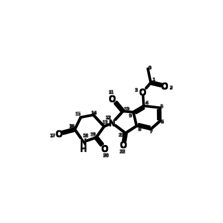 CC(=O)Oc1cccc2c1C(=O)N(C1CCC(=O)NC1=O)C2=O